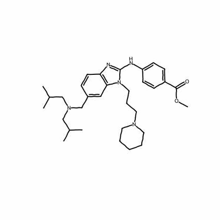 COC(=O)c1ccc(Nc2nc3ccc(CN(CC(C)C)CC(C)C)cc3n2CCCN2CCCCC2)cc1